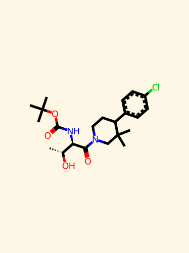 C[C@@H](O)[C@@H](NC(=O)OC(C)(C)C)C(=O)N1CCC(c2ccc(Cl)cc2)C(C)(C)C1